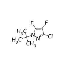 CC(C)(C)n1nc(Cl)c(F)c1F